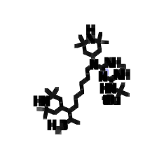 BC(C)C(CCCCCCN(/C(N)=N/C(=N)NC(C)(C)C(C)(C)C)C1CC(C)(C)NC(C)(C)C1)C1CC(C)(C)NC(C)(C)C1